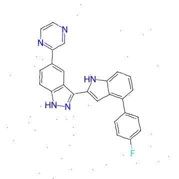 Fc1ccc(-c2cccc3[nH]c(-c4n[nH]c5ccc(-c6cnccn6)cc45)cc23)cc1